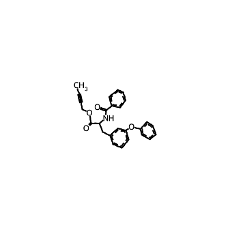 CC#CCOC(=O)C(Cc1cccc(Oc2ccccc2)c1)NC(=O)c1ccccc1